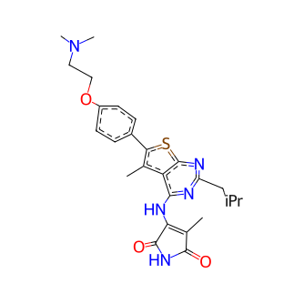 CC1=C(Nc2nc(CC(C)C)nc3sc(-c4ccc(OCCN(C)C)cc4)c(C)c23)C(=O)NC1=O